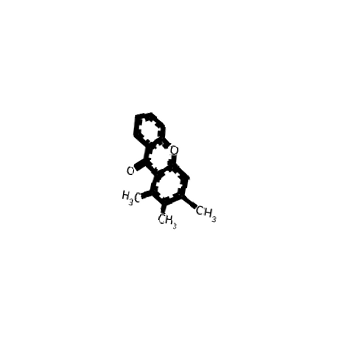 Cc1cc2oc3ccccc3c(=O)c2c(C)c1C